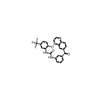 O=C(Nc1cccc(C(=O)c2ccc3nccnc3c2)c1)Nc1cc(C(F)(F)F)ccc1Cl